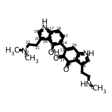 CNCCc1c[nH]c2c1C(=O)C(=O)C(c1ccc3[nH]cc(CCN(C)C)c3c1O)=C2